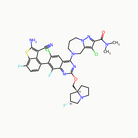 CN(C)C(=O)c1nn2c(c1Cl)CN(c1nc(OC[C@@]34CCCN3C[C@H](F)C4)nc3c(F)c(-c4ccc(F)c5sc(N)c(C#N)c45)c(Cl)cc13)CCC2